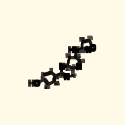 Oc1ccc(-c2ncc3ncc(Nc4ccon4)cc3n2)cc1